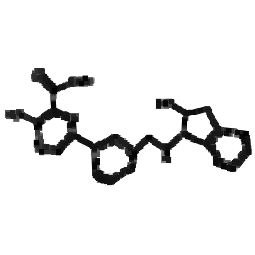 COC(=O)c1nc(-c2cccc(CNC3c4ccccc4CC3O)c2)cnc1N